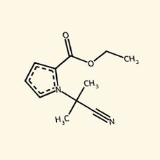 CCOC(=O)c1cccn1C(C)(C)C#N